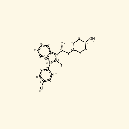 Cc1c(C(=O)CN2CCC(O)CC2)c2ccccc2n1-c1ccc(Cl)cn1